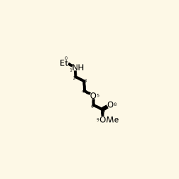 CCNCCCOCC(=O)OC